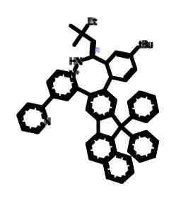 CCC(C)(C)/C=C1\N[n+]2ccc(-c3ccccn3)cc2-c2cc3c(cc2C2C=CC(C(C)(C)C)=CC12)C(c1ccccc1)(c1ccccc1)c1c-3ccc2ccccc12